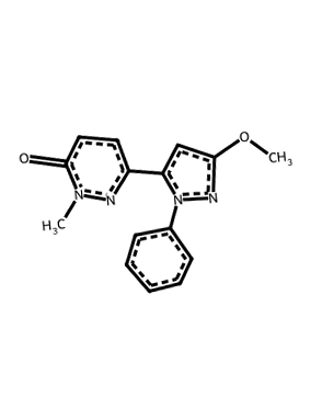 COc1cc(-c2ccc(=O)n(C)n2)n(-c2ccccc2)n1